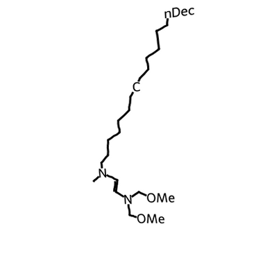 CCCCCCCCCCCCCCCCCCCCCCCCN(C)C=CN(COC)COC